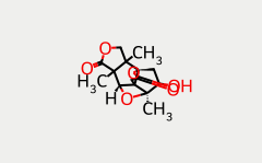 CC12C(=O)OCC1(C)[C@]13CC(O)[C@@]4(C)O[C@H]2C14CC(=O)O3